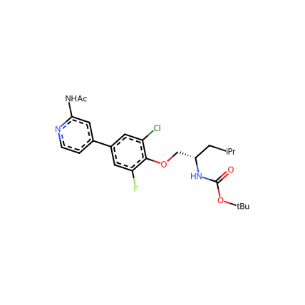 CC(=O)Nc1cc(-c2cc(F)c(OC[C@H](CC(C)C)NC(=O)OC(C)(C)C)c(Cl)c2)ccn1